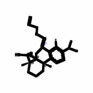 C=CCO/N=C1\C[C@H]2[C@](C)(C(=O)O)CCC[C@]2(C)c2ccc(C(C)C)c(I)c21